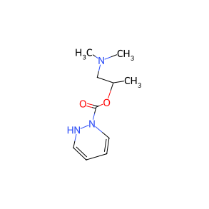 CC(CN(C)C)OC(=O)N1C=CC=CN1